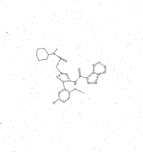 COc1ccc(Cl)cc1-c1nn(CC(=O)N(C)C2CCCCC2)cc1NC(=O)c1cnn2cccnc12